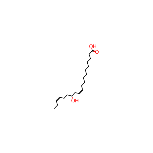 CC/C=C\CCC(O)C/C=C\CCCCCCCCCC(=O)O